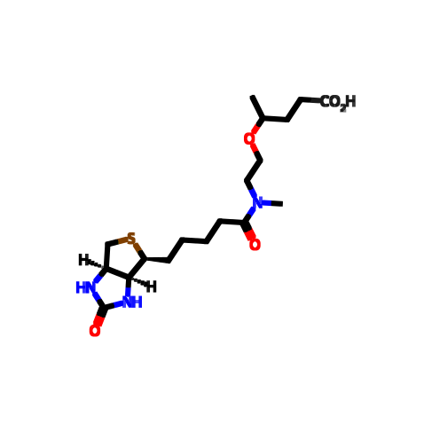 CC(CCC(=O)O)OCCN(C)C(=O)CCCC[C@@H]1SC[C@@H]2NC(=O)N[C@@H]21